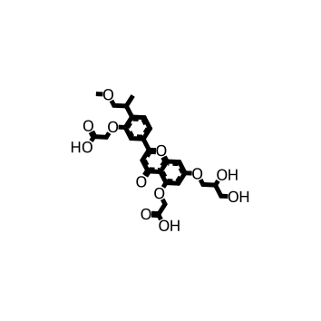 COCC(C)c1ccc(-c2cc(=O)c3c(OCC(=O)O)cc(OCC(O)CO)cc3o2)cc1OCC(=O)O